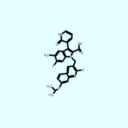 Cc1cc2c(-c3ccc[nH]c3=O)c(C(=O)O)n(Cc3cc4ccc(OC(C)C)cc4nc3Cl)c2cc1F